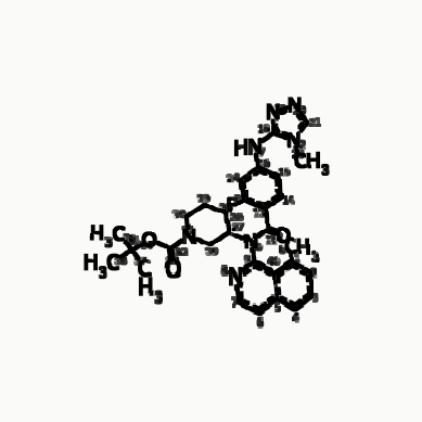 Cc1cccc2ccnc(N(C(=O)c3ccc(Nc4nncn4C)cc3F)[C@@H]3CCCN(C(=O)OC(C)(C)C)C3)c12